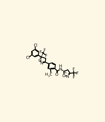 Cc1cc(C2=NO[C@@](c3cc(Cl)cc(Cl)c3)(C(F)(F)F)C2)ccc1C(=O)N[C@H]1CC(C(F)(F)F)=NO1